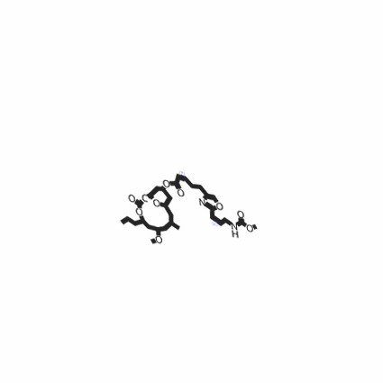 CCCC1CC(OC)CC(C)CC2CC(OC(=O)/C=C\CCc3coc(/C=C\CNC(=O)OC)n3)CC(CC(=O)O1)O2